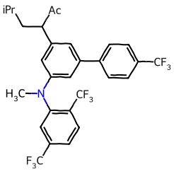 CC(=O)C(CC(C)C)c1cc(-c2ccc(C(F)(F)F)cc2)cc(N(C)c2cc(C(F)(F)F)ccc2C(F)(F)F)c1